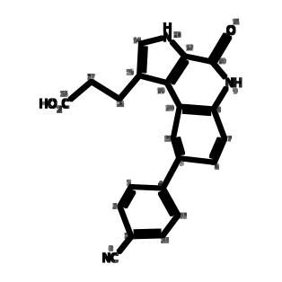 N#Cc1ccc(-c2ccc3[nH]c(=O)c4[nH]cc(CCC(=O)O)c4c3c2)cc1